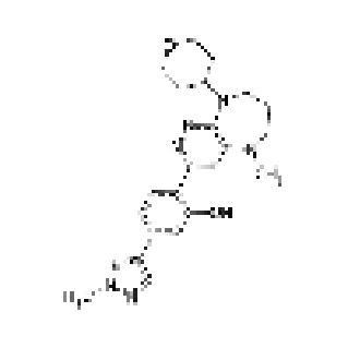 CN1CCCN(C2CCOCC2)c2nnc(-c3ccc(-c4cnn(C)c4)cc3O)cc21